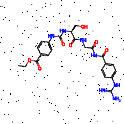 CCOC(=O)c1ccc(NC(=O)N[C@@H](CO)C(=O)NCC(=O)NC(=O)c2ccc(NC(=N)N)cc2)cc1